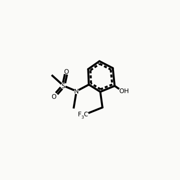 CN(c1cccc(O)c1CC(F)(F)F)S(C)(=O)=O